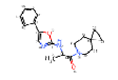 CC(Nc1ncc(-c2ccccc2)o1)C(=O)N1CCC2(CC1)CC2